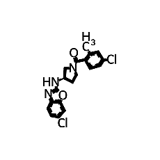 Cc1cc(Cl)ccc1C(=O)N1CC[C@@H](Nc2nc3ccc(Cl)cc3o2)C1